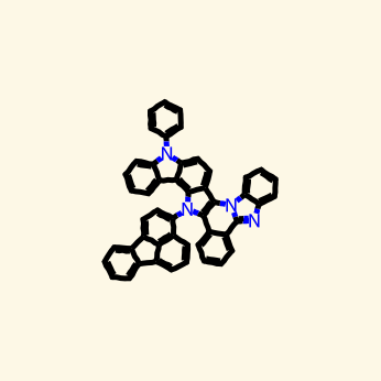 c1ccc(-n2c3ccccc3c3c2ccc2c3n(-c3ccc4c5c(cccc35)-c3ccccc3-4)c3c4ccccc4c4nc5ccccc5n4c23)cc1